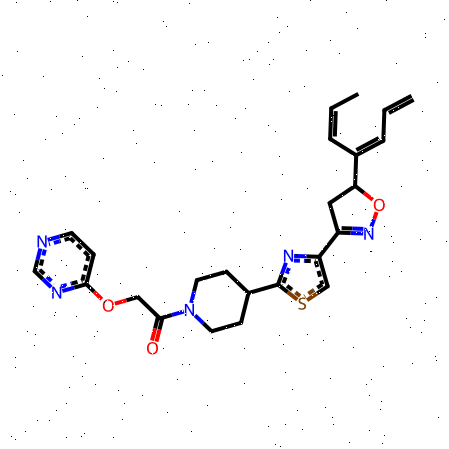 C=C/C=C(\C=C/C)C1CC(c2csc(C3CCN(C(=O)COc4ccncn4)CC3)n2)=NO1